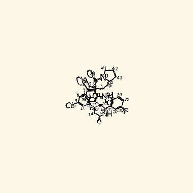 CCC(CC)(Oc1ccc(Cl)cc1[C@@H]1CC(=O)N[C@H](c2cc(F)ccc2C)[C@@]12C(=O)Nc1cc(Cl)ccc12)C(=O)N1CCCC1